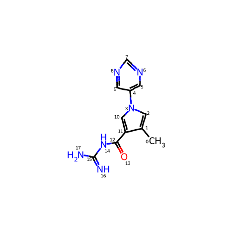 Cc1cn(-c2cncnc2)cc1C(=O)NC(=N)N